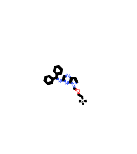 C[Si](C)(C)CCOCn1ccc2ncc(N=C(c3ccccc3)c3ccccc3)nc21